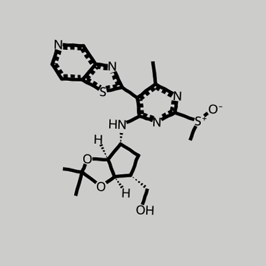 Cc1nc([S+](C)[O-])nc(N[C@@H]2C[C@H](CO)[C@H]3OC(C)(C)O[C@H]32)c1-c1nc2cnccc2s1